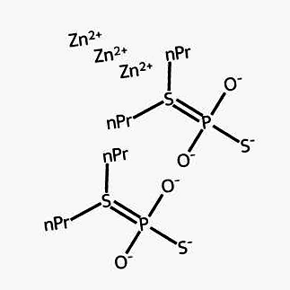 CCCS(CCC)=P([O-])([O-])[S-].CCCS(CCC)=P([O-])([O-])[S-].[Zn+2].[Zn+2].[Zn+2]